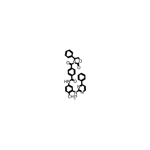 Cc1ccc(NC(=O)c2ccc(C(=O)N3C(=O)OCC3c3ccccc3)cc2)cc1Nc1nccc(-c2ccccc2)n1